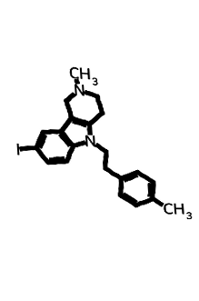 Cc1ccc(CCn2c3c(c4cc(I)ccc42)CN(C)CC3)cc1